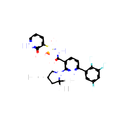 C[C@@H]1CN(c2nc(-c3cc(F)cc(F)c3F)ccc2C(=O)NS(=O)(=O)c2ccc[nH]c2=O)C(C)(C)C1